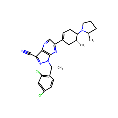 C[C@@H]1CC(c2cnc3c(C#N)nn([C@H](C)c4ccc(Cl)cc4Cl)c3n2)=CCC1N1CCC[C@H]1C